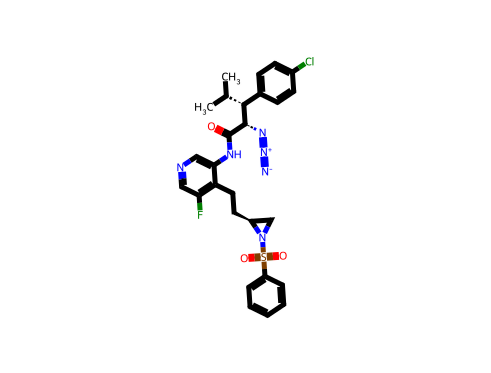 CC(C)[C@H](c1ccc(Cl)cc1)[C@H](N=[N+]=[N-])C(=O)Nc1cncc(F)c1CC[C@H]1CN1S(=O)(=O)c1ccccc1